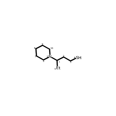 CCC(CCS)N1CCCCC1